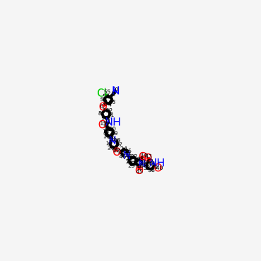 N#Cc1ccc(O[C@H]2CC[C@H](NC(=O)c3ccc(N4CCC(O[C@@H]5CCN(c6ccc7c(c6)C(=O)N(C6CCC(=O)NC6=O)C7=O)C5)CC4)cc3)CC2)cc1Cl